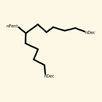 [CH2]CCCCC(CCCCCCCCCCCCCC)CCCCCCCCCCCCCCC